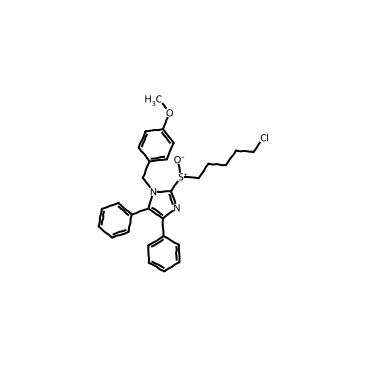 COc1ccc(Cn2c([S+]([O-])CCCCCCl)nc(-c3ccccc3)c2-c2ccccc2)cc1